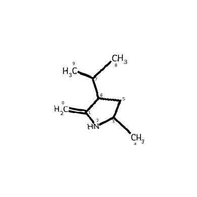 C=C1NC(C)CC1C(C)C